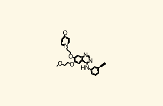 C#Cc1cccc(Nc2ncnc3cc(OCCn4ccc(=O)cc4)c(OCCOC)cc23)c1